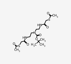 CC(=O)SCC(=O)NCCN(CCNC(=O)CSC(C)=O)C(=O)OC(C)(C)C